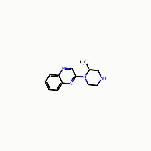 C[C@H]1CNCCN1c1cnc2ccccc2n1